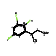 CC(=O)OCC(C#N)c1cc(F)cc(F)c1F